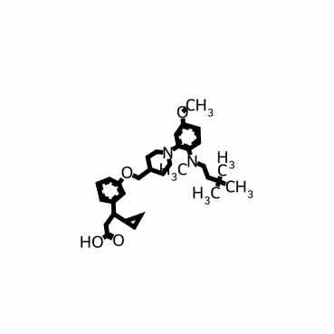 COc1ccc(N(C)CCC(C)(C)C)c(N2CCC(COc3cccc(C(CC(=O)O)C4CC4)c3)CC2)c1